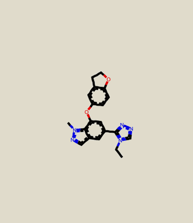 CCn1cnnc1-c1cc(Oc2ccc3c(c2)CCO3)c2c(cnn2C)c1